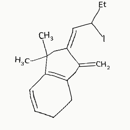 C=C1C2=C(C=CCC2)C(C)(C)/C1=C/C(I)CC